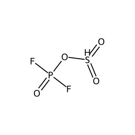 O=[SH](=O)OP(=O)(F)F